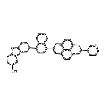 N#Cc1ccc2oc3ccc(-c4ccc(-c5cc6ccc7cc(-c8cccnc8)cc8ccc(c5)c6c78)c5ccccc45)cc3c2c1